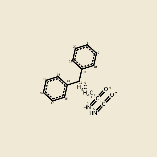 C.C.N=C=O.N=C=O.c1ccc(Cc2ccccc2)cc1